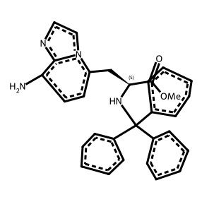 COC(=O)[C@H](Cc1ccc(N)c2nccn12)NC(c1ccccc1)(c1ccccc1)c1ccccc1